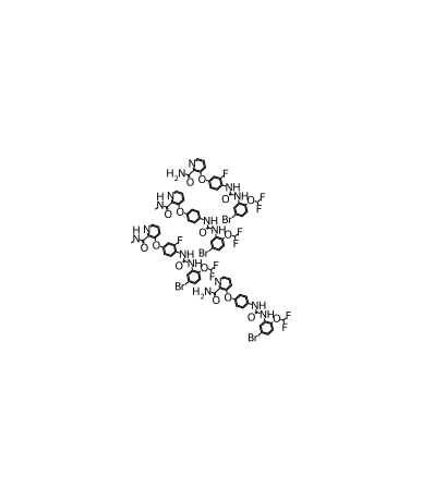 CNC(=O)c1ncccc1Oc1ccc(NC(=O)Nc2cc(Br)ccc2OC(F)F)c(F)c1.CNC(=O)c1ncccc1Oc1ccc(NC(=O)Nc2cc(Br)ccc2OC(F)F)cc1.NC(=O)c1ncccc1Oc1ccc(NC(=O)Nc2cc(Br)ccc2OC(F)F)c(F)c1.NC(=O)c1ncccc1Oc1ccc(NC(=O)Nc2cc(Br)ccc2OC(F)F)cc1